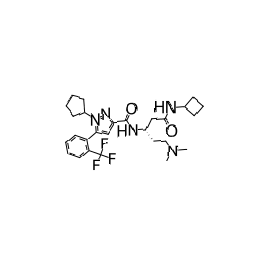 CN(C)CC[C@@H](CC(=O)NC1CCC1)NC(=O)c1cc(-c2ccccc2C(F)(F)F)n(C2CCCC2)n1